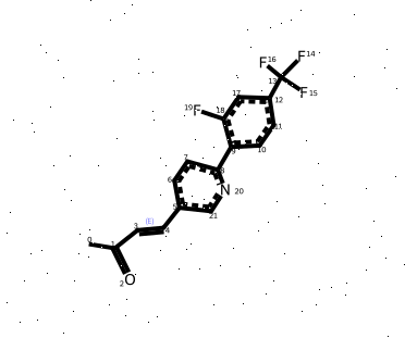 CC(=O)/C=C/c1ccc(-c2ccc(C(F)(F)F)cc2F)nc1